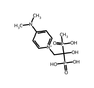 CN(C)c1cc[n+](CC(O)(P(C)(=O)O)P(=O)(O)O)cc1